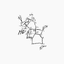 C#CC1C[C@H](O)CC2=C[C@H](O)[C@H]3[C@@H]4C[C@@H](O)[C@H](O)[C@@]4(C)CC[C@@H]3[C@]21C